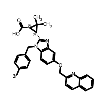 CC1(C)[C@H](C(=O)O)[C@H]1c1nc2cc(OCc3ccc4ccccc4n3)ccc2n1Cc1ccc(Br)cc1